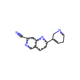 N#Cc1cc2nc(C3=CCC=NC3)ccc2cn1